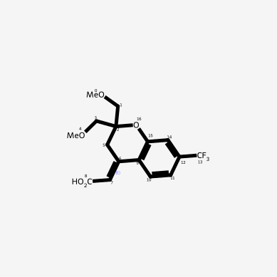 COCC1(COC)C/C(=C\C(=O)O)c2ccc(C(F)(F)F)cc2O1